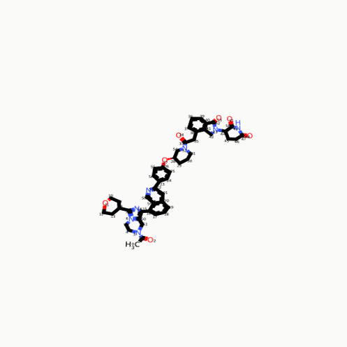 CC(=O)N1CCn2c(C3CCOCC3)nc(-c3cccc4cc(-c5ccc(O[C@@H]6CCCN(C(=O)Cc7cccc8c7CN(C7CCC(=O)NC7=O)C8=O)C6)cc5)ncc34)c2C1